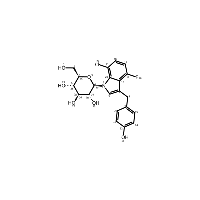 OC[C@H]1O[C@@H](n2cc(Cc3ccc(O)cc3)c3c(F)ccc(Cl)c32)[C@H](O)[C@@H](O)[C@@H]1O